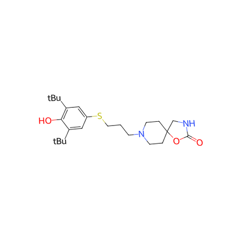 CC(C)(C)c1cc(SCCCN2CCC3(CC2)CNC(=O)O3)cc(C(C)(C)C)c1O